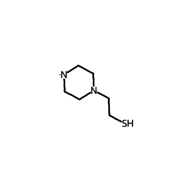 SCCN1CC[N]CC1